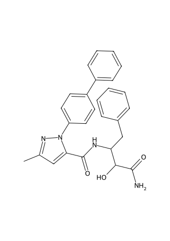 Cc1cc(C(=O)NC(Cc2ccccc2)C(O)C(N)=O)n(-c2ccc(-c3ccccc3)cc2)n1